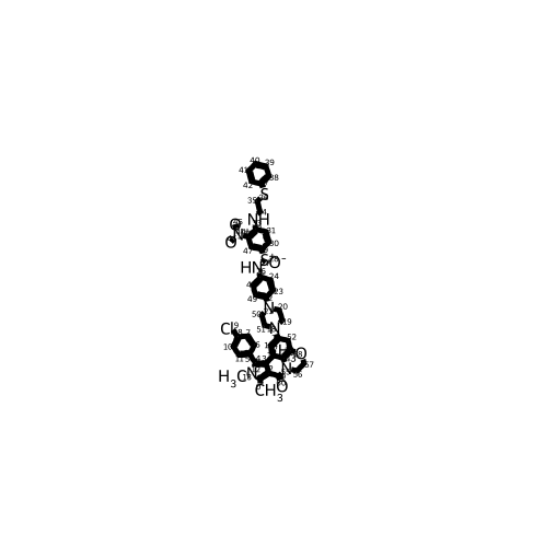 Cc1c2c(c(-c3ccc(Cl)cc3)n1C)C1(C)C=C(N3CCN(c4ccc(N[S+]([O-])c5ccc(NCCSc6ccccc6)c([N+](=O)[O-])c5)cc4)CC3)CC3=C1N(CCO3)C2=O